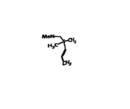 CC=CS(C)(C)CNC